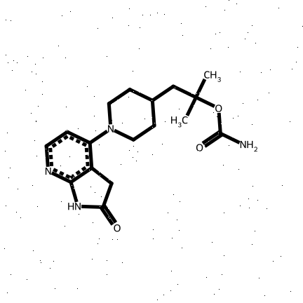 CC(C)(CC1CCN(c2ccnc3c2CC(=O)N3)CC1)OC(N)=O